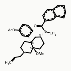 C=CCN1CC[C@@]2(c3cccc(OC(C)=O)c3)C[C@H](N(C)C(=O)c3ccc4ccccc4c3)CC[C@]2(OC)C1